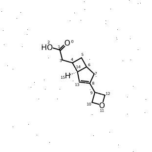 O=C(O)CC1CC2CC(C3COC3)=C[C@@H]12